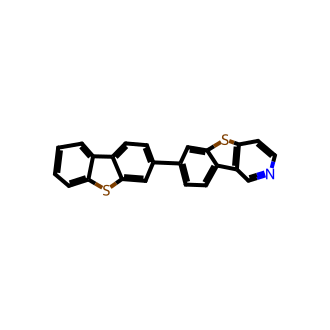 c1ccc2c(c1)sc1cc(-c3ccc4c(c3)sc3ccncc34)ccc12